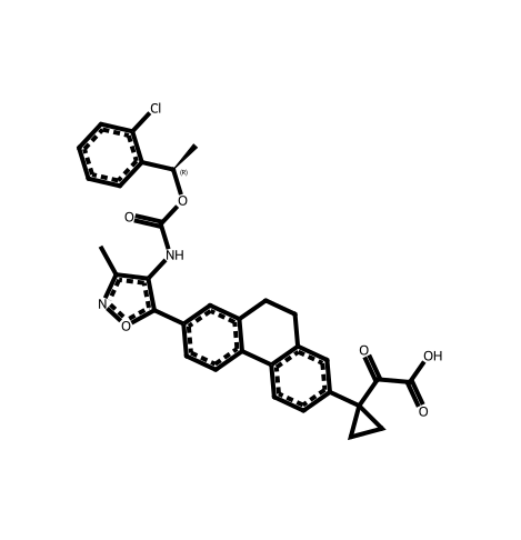 Cc1noc(-c2ccc3c(c2)CCc2cc(C4(C(=O)C(=O)O)CC4)ccc2-3)c1NC(=O)O[C@H](C)c1ccccc1Cl